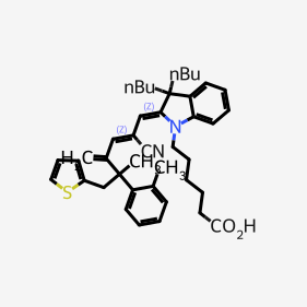 C=C(/C=C(C#N)/C=C1\N(CCCCCC(=O)O)c2ccccc2C1(CCCC)CCCC)C(C)(Cc1cccs1)c1ccccc1C